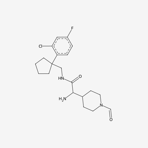 NC(C(=O)NCC1(c2ccc(F)cc2Cl)CCCC1)C1CCN(C=O)CC1